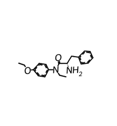 CCOc1ccc(N(CC)C(=O)[C@@H](N)Cc2ccccc2)cc1